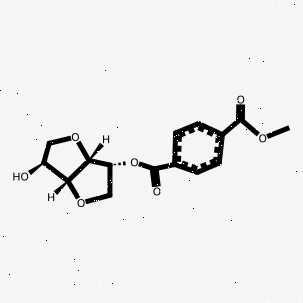 COC(=O)c1ccc(C(=O)O[C@@H]2CO[C@H]3[C@@H]2OC[C@@H]3O)cc1